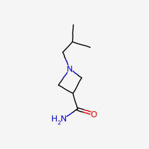 CC(C)CN1CC(C(N)=O)C1